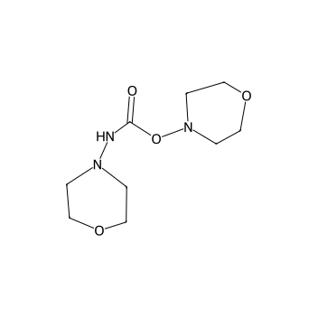 O=C(NN1CCOCC1)ON1CCOCC1